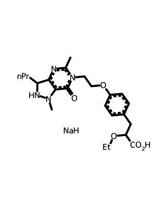 CCCC1NN(C)c2c1nc(C)n(CCOc1ccc(CC(OCC)C(=O)O)cc1)c2=O.[NaH]